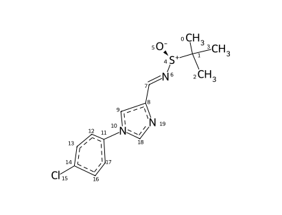 CC(C)(C)[S@+]([O-])N=Cc1cn(-c2ccc(Cl)cc2)cn1